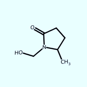 CC1CCC(=O)N1CO